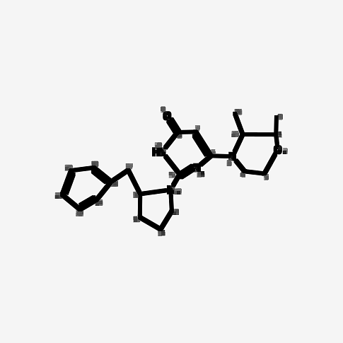 CC1OCCN(c2cc(=O)[nH]c(N3CCCC3Cc3ccccc3)n2)C1C